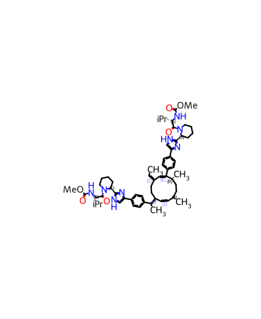 C/C=C1\C=C(\c2ccc(-c3c[nH]c([C@@H]4CCCCN4C(=O)[C@@H](NC(=O)OC)C(C)C)n3)cc2)[C@H](C)CC[C@@H](C)/C=C\C(=C(/C)c2ccc(-c3c[nH]c([C@@H]4CCCCN4C(=O)[C@@H](NC(=O)OC)C(C)C)n3)cc2)CC1